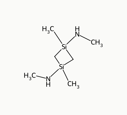 CN[Si]1(C)C[Si](C)(NC)C1